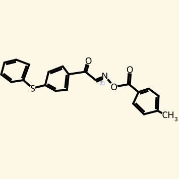 Cc1ccc(C(=O)O/N=C/C(=O)c2ccc(Sc3ccccc3)cc2)cc1